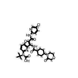 CC(C)(C)N(C(=O)O)c1ccc2oc(C(=O)Nc3ccc(Cl)cn3)c(NC(=O)C3CCC(N4CCOCC4=O)CC3)c2n1